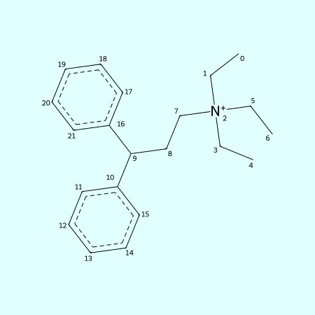 CC[N+](CC)(CC)CCC(c1ccccc1)c1ccccc1